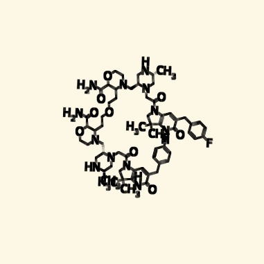 C[C@@H]1CN(CC(=O)N2CC(C)(C)c3[nH]c(=O)c(Cc4ccc(F)cc4)cc32)[C@@H](CN2CCOC(C(N)=O)C2CCOCCC2C(C(N)=O)OCCN2C[C@H]2CN[C@H](C)CN2CC(=O)N2CC(C)(C)c3[nH]c(=O)c(Cc4ccc(F)cc4)cc32)CN1